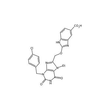 CCn1c(COc2nc3cc(C(=O)O)ccc3[nH]2)nc2c1c(=O)[nH]c(=O)n2Cc1ccc(Cl)cc1